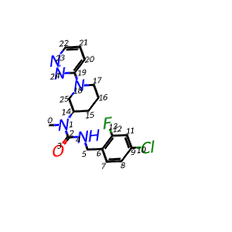 CN(C(=O)NCc1ccc(Cl)cc1F)[C@@H]1CCCN(c2cccnn2)C1